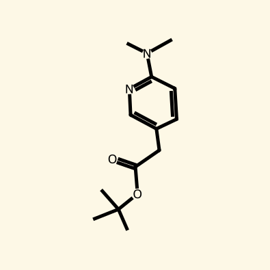 CN(C)c1ccc(CC(=O)OC(C)(C)C)cn1